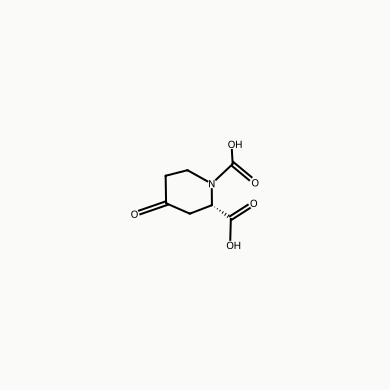 O=C1CCN(C(=O)O)[C@H](C(=O)O)C1